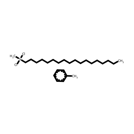 CCCCCCCCCCCCCCCCCC[Si](C)(Cl)Cl.Cc1ccccc1